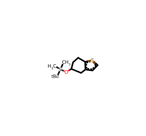 CC(C)(C)[Si](C)(C)OC1CCc2sccc2C1